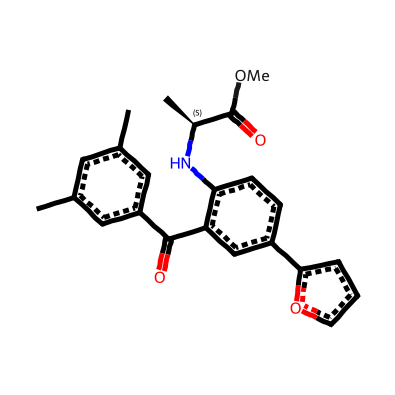 COC(=O)[C@H](C)Nc1ccc(-c2ccco2)cc1C(=O)c1cc(C)cc(C)c1